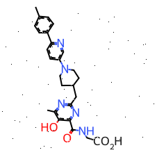 Cc1ccc(-c2ccc(N3CCC(Cc4nc(C)c(O)c(C(=O)NCC(=O)O)n4)CC3)cn2)cc1